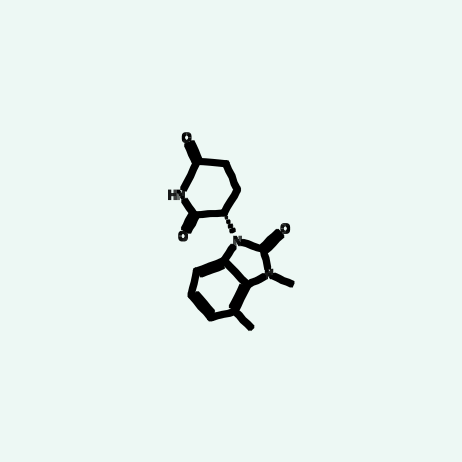 Cc1cccc2c1n(C)c(=O)n2[C@H]1CCC(=O)NC1=O